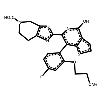 COCCOc1cc(F)ccc1-c1c(-c2nc3c(s2)CN(C(=O)O)CC3)nc(O)c2ccsc12